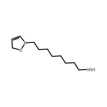 CCCCCCCCCCCCCCCCN1C=CCO1